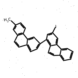 Cc1ccc2c(ccc3ccc(-c4cc(I)cc5c4ccc4ccccc45)cc32)c1